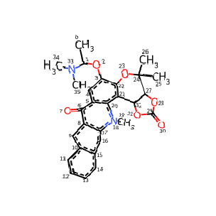 CC(Oc1cc2c(=O)c3cc4ccccc4cc3n(C)c2c2c1OC(C)(C)C1OC(=O)OC21)N(C)C